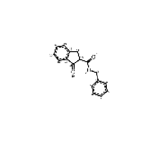 O=C(OCc1ccccc1)C1Cc2ccccc2C1=O